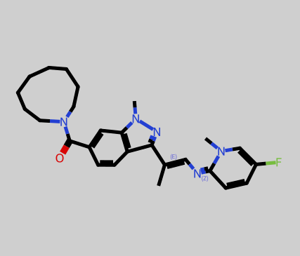 C/C(=C\N=c1\ccc(F)cn1C)c1nn(C)c2cc(C(=O)N3CCCCCCCC3)ccc12